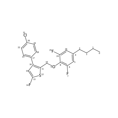 CCCCc1cc(F)c(OCc2sc(F)cc2-c2ccc(Cl)cc2)c(F)c1